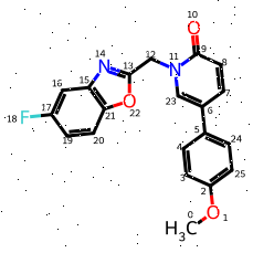 COc1ccc(-c2ccc(=O)n(Cc3nc4cc(F)ccc4o3)c2)cc1